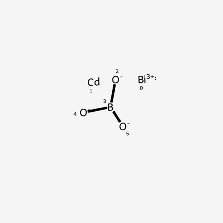 [Bi+3].[Cd].[O-]B([O-])[O-]